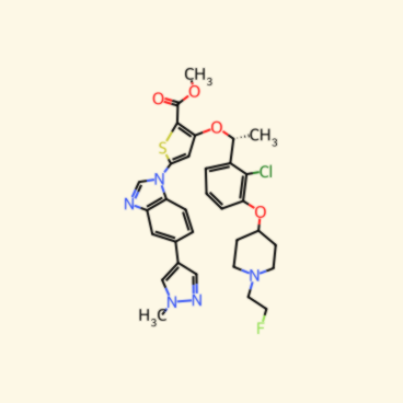 COC(=O)c1sc(-n2cnc3cc(-c4cnn(C)c4)ccc32)cc1O[C@H](C)c1cccc(OC2CCN(CCF)CC2)c1Cl